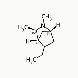 CCC1C[C@@H]2C[C@H]1[C@@H](C)N2C